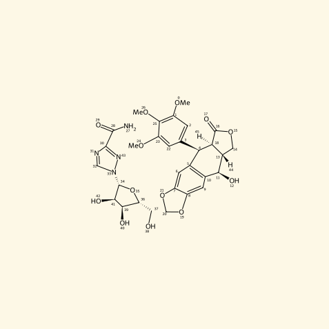 COc1cc([C@@H]2c3cc4c(cc3[C@H](O)[C@H]3COC(=O)[C@H]23)OCO4)cc(OC)c1OC.NC(=O)c1ncn([C@@H]2O[C@H](CO)[C@@H](O)[C@H]2O)n1